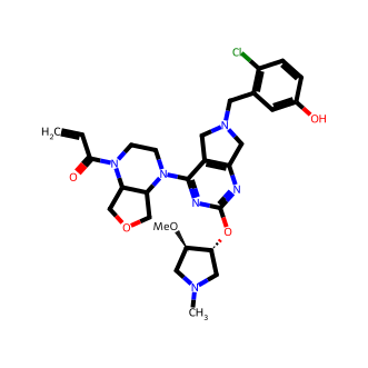 C=CC(=O)N1CCN(c2nc(O[C@@H]3CN(C)C[C@H]3OC)nc3c2CN(Cc2cc(O)ccc2Cl)C3)C2COCC21